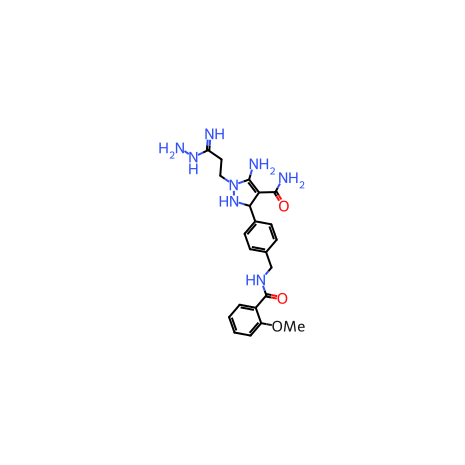 COc1ccccc1C(=O)NCc1ccc(C2NN(CCC(=N)NN)C(N)=C2C(N)=O)cc1